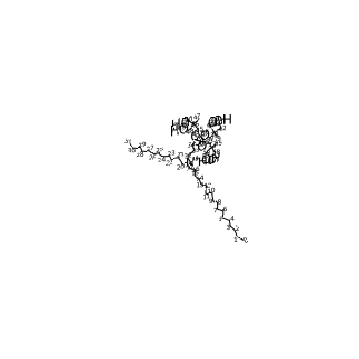 CCCCCCCCCCCCCCCCCC[N+](C)(CCCCCCCCCCCC)CCC[Si](OCC(C)(CO)CO)(OCC(C)(CO)CO)OCC(C)(CO)CO